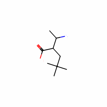 CC(N)C(CC(C)(C)C)C(=O)O